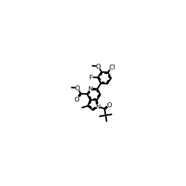 COC(=O)c1nc(-c2ccc(Cl)c(OC)c2F)cc2c1c(C)cn2C(=O)C(C)(C)C